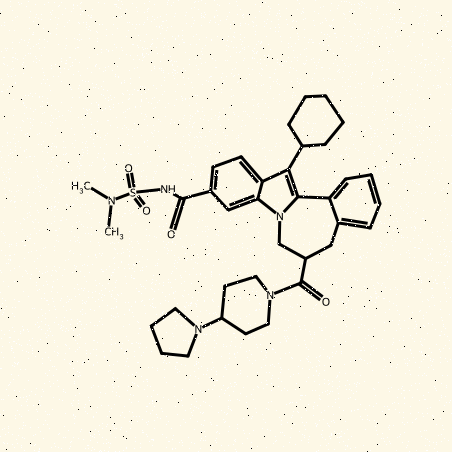 CN(C)S(=O)(=O)NC(=O)c1ccc2c(C3CCCCC3)c3n(c2c1)CC(C(=O)N1CCC(N2CCCC2)CC1)Cc1ccccc1-3